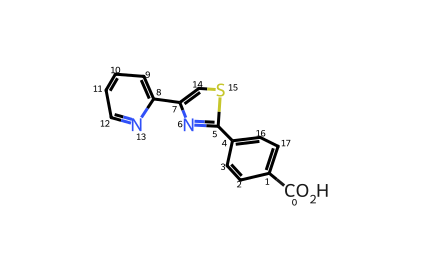 O=C(O)c1ccc(-c2nc(-c3ccccn3)cs2)cc1